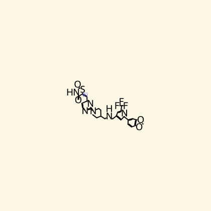 O=C1NC(=O)/C(=C\c2ccnc(N3CCC(CNCc4cc(-c5ccc6c(c5)OCO6)nc(C(F)(F)F)c4)CC3)n2)S1